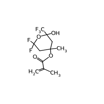 C=C(C)C(=O)OC1(C)CC(F)(F)OC(O)(C(F)(F)F)C1